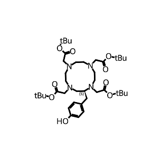 CC(C)(C)OC(=O)CN1CCN(CC(=O)OC(C)(C)C)CCN(CC(=O)OC(C)(C)C)[C@@H](Cc2ccc(O)cc2)CN(CC(=O)OC(C)(C)C)CC1